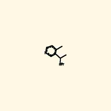 CCCC(C)c1cnccc1C